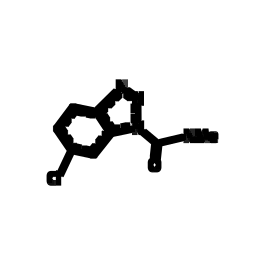 CNC(=O)n1nnc2ccc(Cl)cc21